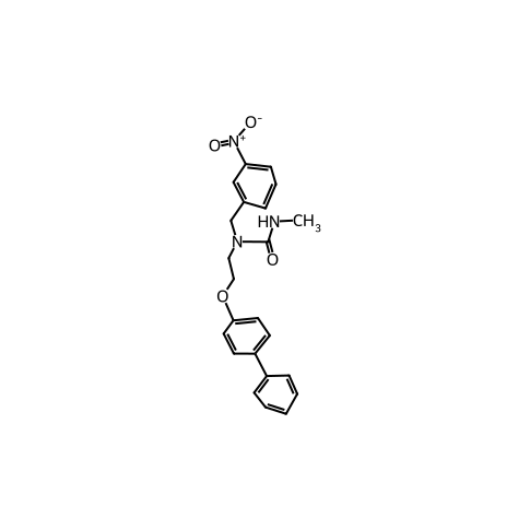 CNC(=O)N(CCOc1ccc(-c2ccccc2)cc1)Cc1cccc([N+](=O)[O-])c1